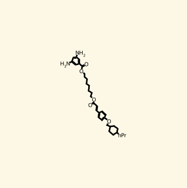 CCCC1CCC(COc2ccc(/C=C/C(=O)OCCCCCCCCOC(=O)c3cc(N)cc(N)c3)cc2)CC1